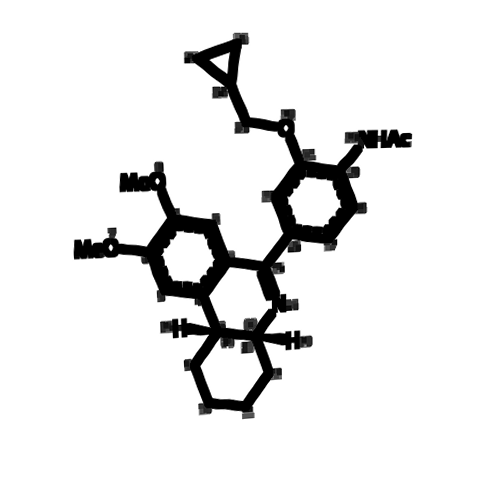 COc1cc2c(cc1OC)[C@H]1CCCC[C@H]1N=C2c1ccc(NC(C)=O)c(OCC2CC2)c1